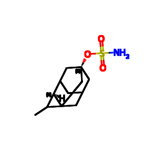 CC1[C@H]2C3CC4CC12C[C@](OS(N)(=O)=O)(C4)C3